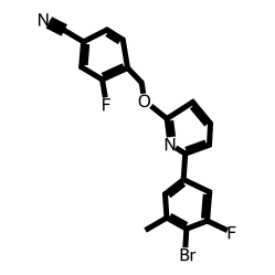 Cc1cc(-c2cccc(OCc3ccc(C#N)cc3F)n2)cc(F)c1Br